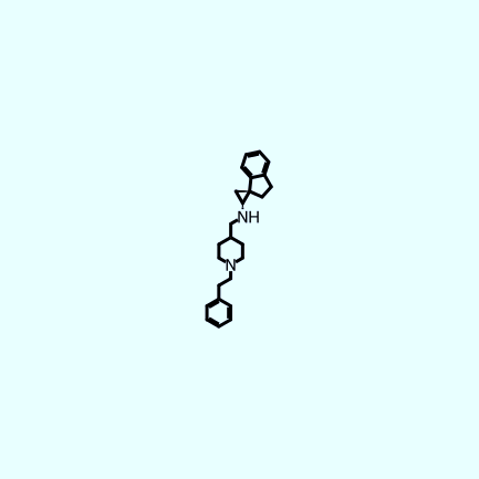 c1ccc(CCN2CCC(CN[C@@H]3C[C@@]34CCc3ccccc34)CC2)cc1